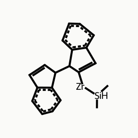 C[SiH](C)[Zr][C]1=Cc2ccccc2C1C1C=Cc2ccccc21